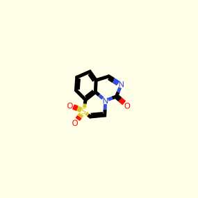 O=c1ncc2cccc3c2n1C=CS3(=O)=O